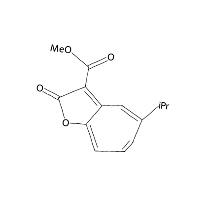 COC(=O)c1c2cc(C(C)C)cccc-2oc1=O